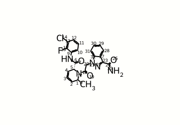 CC1C=C=C[C@H](C(=O)Nc2cccc(Cl)c2F)N1C(=O)Cn1nc(C(N)=O)c2ccccc21